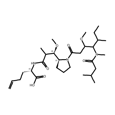 C=CCC[C@H](NC(=O)C(C)[C@@H](OC)[C@@H]1CCCN1C(=O)CC(OC)C(C(C)CC)N(C)C(=O)CC(C)C)C(=O)O